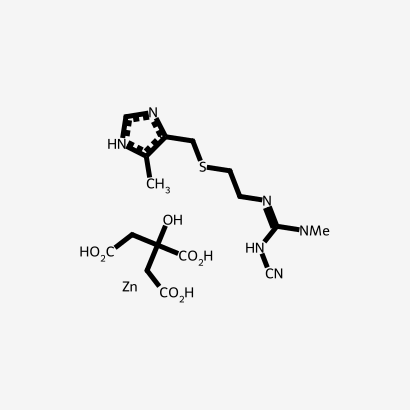 CNC(=NCCSCc1nc[nH]c1C)NC#N.O=C(O)CC(O)(CC(=O)O)C(=O)O.[Zn]